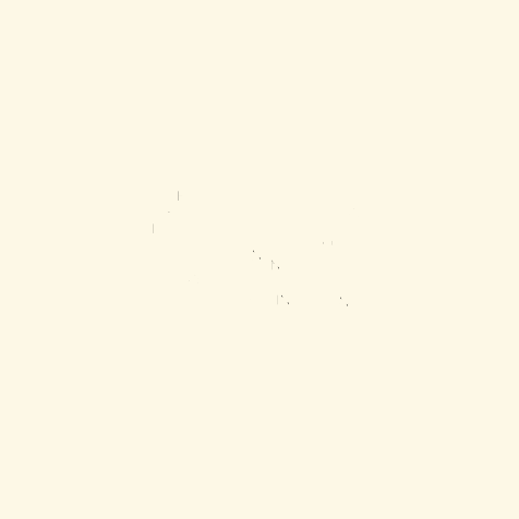 CN1C[C@H](Nc2nnc(-c3ccc(C(F)(F)F)cc3O)c3ccccc23)C[C@H](OC=O)C1